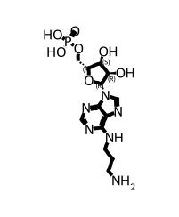 NCCCNc1ncnc2c1ncn2[C@@H]1O[C@H](COP(=O)(O)O)[C@@H](O)[C@H]1O